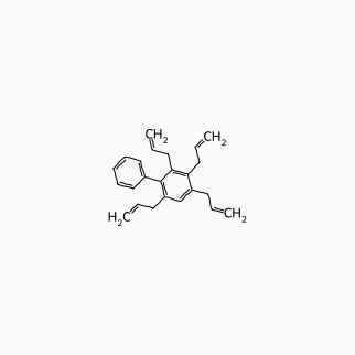 C=CCc1cc(CC=C)c(-c2ccccc2)c(CC=C)c1CC=C